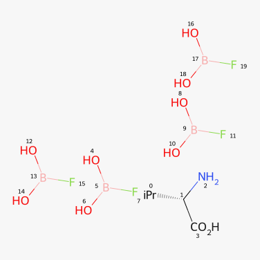 CC(C)[C@H](N)C(=O)O.OB(O)F.OB(O)F.OB(O)F.OB(O)F